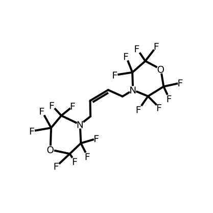 FC1(F)OC(F)(F)C(F)(F)N(C/C=C\CN2C(F)(F)C(F)(F)OC(F)(F)C2(F)F)C1(F)F